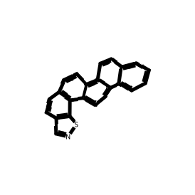 c1ccc2c(c1)ccc1c2ccc2c1ccc1ccc3cnsc3c12